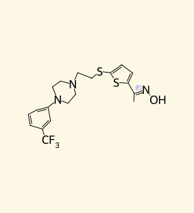 C/C(=N\O)c1ccc(SCCN2CCN(c3cccc(C(F)(F)F)c3)CC2)s1